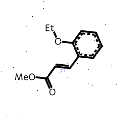 CCOc1ccccc1/C=C/C(=O)OC